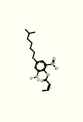 C/C=C\C(=O)Oc1c([N+](=O)[O-])cc(CCCCCC(C)C)cc1[N+](=O)[O-]